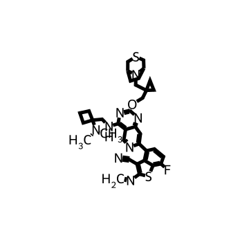 C=Nc1sc2c(F)ccc(-c3cc4nc(OCC5(CN6C7CCC6CSC7)CC5)nc(NCC5(N(C)C)CCC5)c4cn3)c2c1C#N